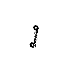 c1ccc(COCCOCCc2ccccn2)cc1